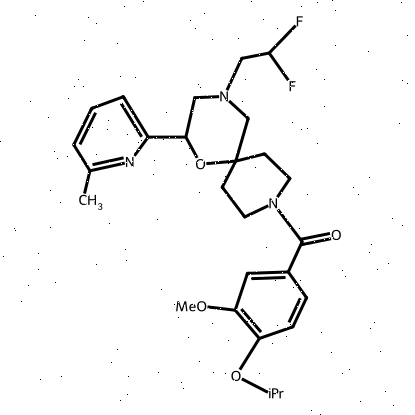 COc1cc(C(=O)N2CCC3(CC2)CN(CC(F)F)CC(c2cccc(C)n2)O3)ccc1OC(C)C